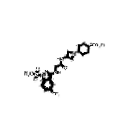 CCOC(=O)[C@H]1CC[C@@H](N2CC(NC(=O)CNc3nn(S(C)(=O)=O)c4ccc(C(F)(F)F)cc34)C2)CC1